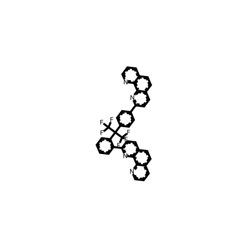 FC(F)(F)C(c1ccc(-c2ccc3ccc4cccnc4c3n2)cc1)(c1ccccc1-c1ccc2ccc3cccnc3c2n1)C(F)(F)F